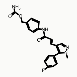 Cn1ncc(C=CC(=O)Nc2ccc(COC(N)=O)cc2)c1-c1ccc(F)cc1